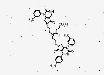 Nc1ccc(C2NC(=O)N(c3cccc(C(F)(F)F)c3)C3=C2C(=O)N(CCCN(CCCN2CC4=C(CNC(=O)N4c4cccc(C(F)(F)F)c4)C2=O)C(=O)CCC(=O)O)C3)cc1